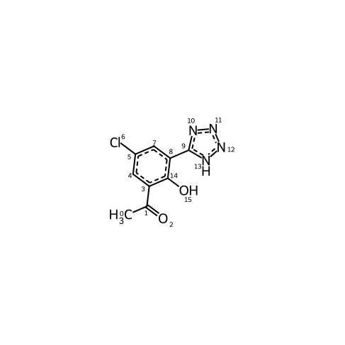 CC(=O)c1cc(Cl)cc(-c2nnn[nH]2)c1O